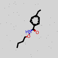 CCCCONC(=O)c1ccc(CC)cc1